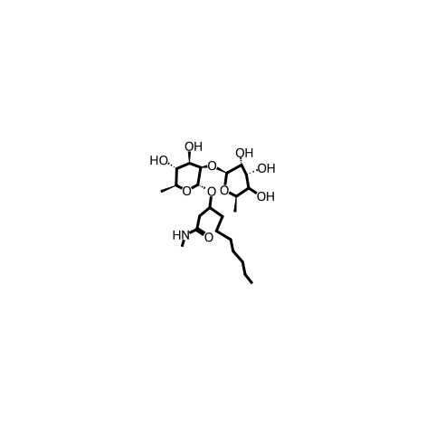 CCCCCCCC(CC(=O)NC)O[C@@H]1O[C@@H](C)[C@H](O)[C@@H](O)[C@H]1O[C@@H]1O[C@H](C)C(O)[C@@H](O)[C@H]1O